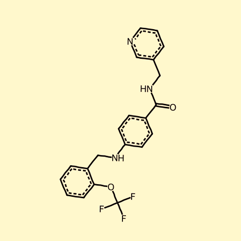 O=C(NCc1cccnc1)c1ccc(NCc2ccccc2OC(F)(F)F)cc1